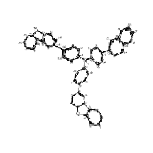 C1=CC2Oc3ccccc3C2C=C1c1ccc(N(c2ccc(-c3ccc4ccccc4c3)cc2)c2ccc(-c3ccc4oc5ccccc5c4c3)cc2)cc1